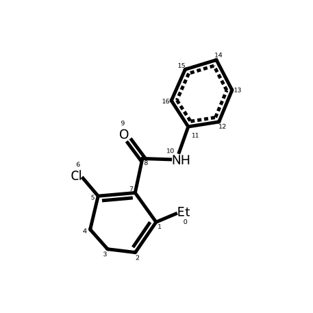 CCC1=CCCC(Cl)=C1C(=O)Nc1ccccc1